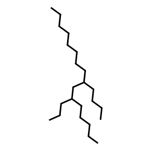 CCCCCCCCC(CCCC)CC(CCC)CCCCC